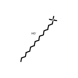 CCCCCCCCCCCCCCC[N+](C)(C)C.[OH-]